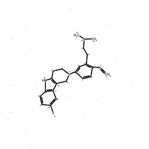 C=Nc1ccc(N2CCc3[nH]c4ccc(F)cc4c3C2)cc1CCN(C)C